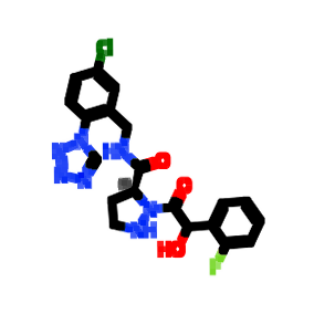 O=C(NCc1cc(Cl)ccc1-n1cnnn1)[C@@H]1CCNN1C(=O)C(O)c1ccccc1F